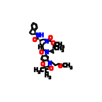 COCCCN1C(=O)C(C)(C)Oc2ccc(N3C(=O)[C@@H]4C[C@H](C(=O)N[C@H]5CCc6ccccc65)CN(C4)C(=O)OC(C)(C)C4CC43)cc21